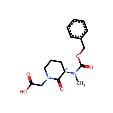 CN(C(=O)OCc1ccccc1)[C@@H]1CCCN(CC(=O)O)C1=O